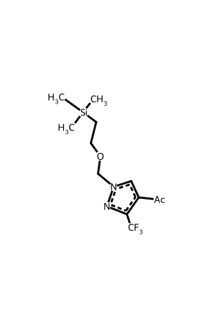 [CH2]C(=O)c1cn(COCC[Si](C)(C)C)nc1C(F)(F)F